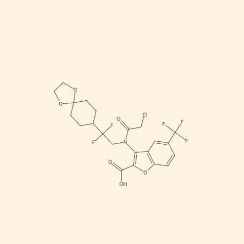 O=C(O)c1oc2ccc(C(F)(F)F)cc2c1N(CC(F)(F)C1CCC2(CC1)OCCO2)C(=O)CCl